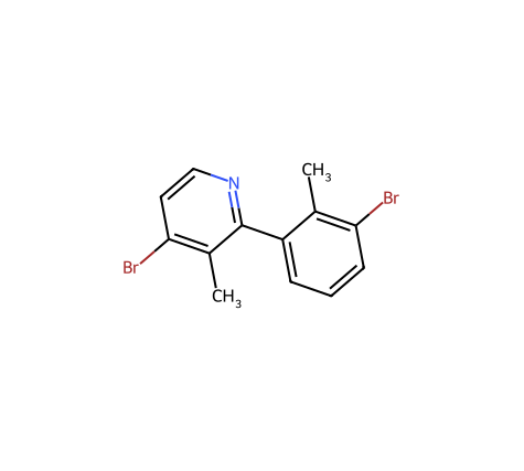 Cc1c(Br)cccc1-c1nccc(Br)c1C